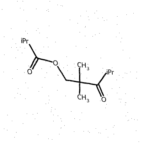 CC(C)C(=O)OCC(C)(C)C(=O)C(C)C